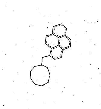 c1cc2ccc3ccc(C[C]4CCCCCCCC4)c4ccc(c1)c2c34